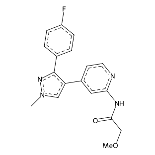 COCC(=O)Nc1cc(-c2cn(C)nc2-c2ccc(F)cc2)ccn1